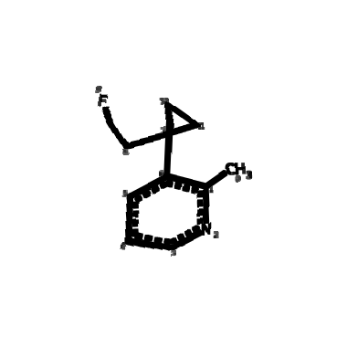 Cc1ncccc1C1(CF)CC1